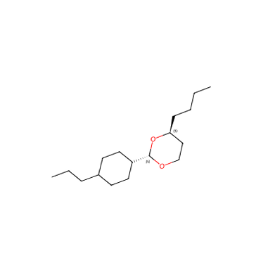 CCCC[C@H]1CCO[C@H](C2CCC(CCC)CC2)O1